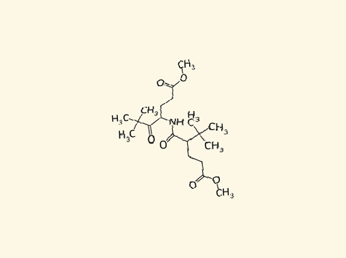 COC(=O)CCC(NC(=O)C(CCC(=O)OC)C(C)(C)C)C(=O)C(C)(C)C